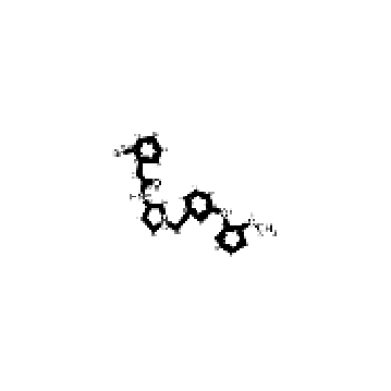 COc1ccccc1Oc1cccc(CN2CCC(NC(=O)Cc3ccccc3Br)C2)c1